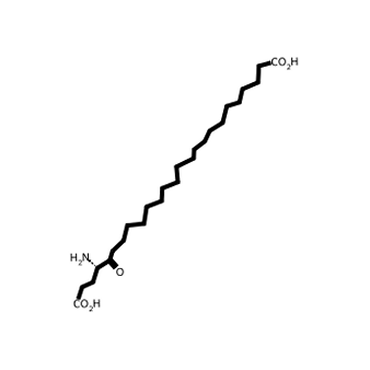 N[C@@H](CCC(=O)O)C(=O)CCCCCCCCCCCCCCCCCCCC(=O)O